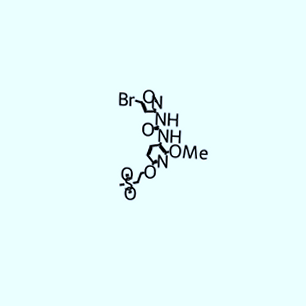 COc1nc(OCCS(C)(=O)=O)ccc1NC(=O)Nc1cc(Br)on1